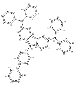 c1ccc(N(c2ccccc2)c2ccc3c(c2)c2cc(N(c4ccccc4)c4ccccc4)ccc2n3-c2ccc(-c3ncccn3)cc2)cc1